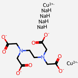 O=C([O-])CN(CCN(CC(=O)[O-])CC(=O)[O-])CC(=O)[O-].[Cu+2].[Cu+2].[NaH].[NaH].[NaH].[NaH]